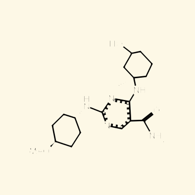 CO[C@H]1CC[C@H](Nc2ncc(C(N)=O)c(N[C@]3(C)CCCC(O)C3)n2)CC1